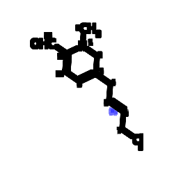 CN1CC(C/C=C/CCl)=CC=C1C=O